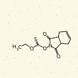 CCOC(=S)ON1C(=O)C2CC=CCC2C1=O